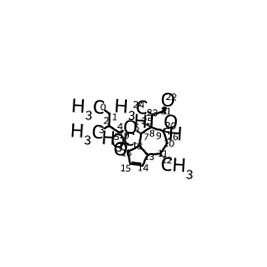 CCC(C)C(=O)O[C@H]1[C@H]2[C@@H](C[C@@H](C)C3C=CC(=O)[C@]31C)OC(=O)[C@@H]2C